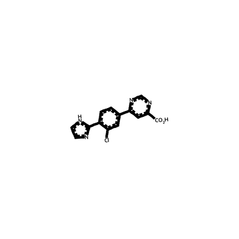 O=C(O)c1cc(-c2ccc(-c3ncc[nH]3)c(Cl)c2)ncn1